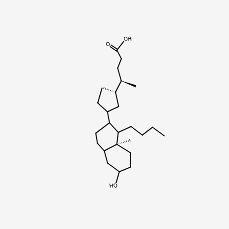 CCCCC1C(C2CC[C@H]([C@H](C)CCC(=O)O)C2)CCC2CC(O)CC[C@@]21C